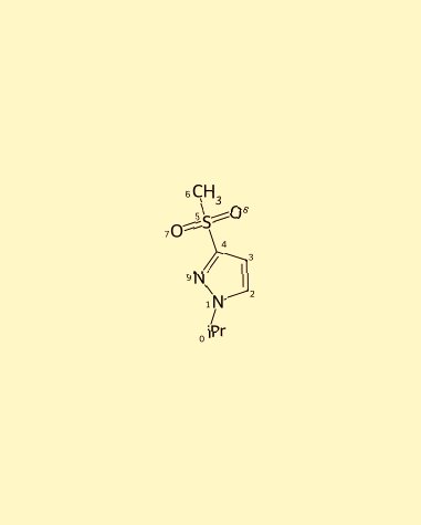 CC(C)n1ccc(S(C)(=O)=O)n1